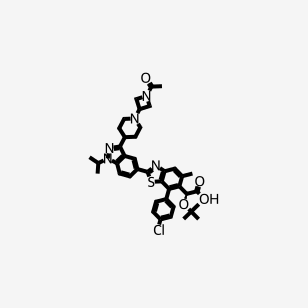 CC(=O)N1CC(N2CCC(c3nn(C(C)C)c4ccc(-c5nc6cc(C)c([C@H](OC(C)(C)C)C(=O)O)c(-c7ccc(Cl)cc7)c6s5)cc34)CC2)C1